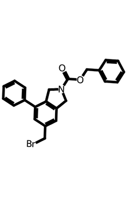 O=C(OCc1ccccc1)N1Cc2cc(CBr)cc(-c3ccccc3)c2C1